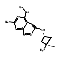 CC(C)(C)Nc1nc(C#N)cc2cnc(N[C@H]3C[C@](C)(N)C3)nc12